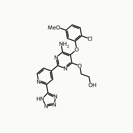 COc1ccc(Cl)c(Oc2c(N)nc(-c3ccnc(-c4nnn[nH]4)c3)nc2OCCO)c1